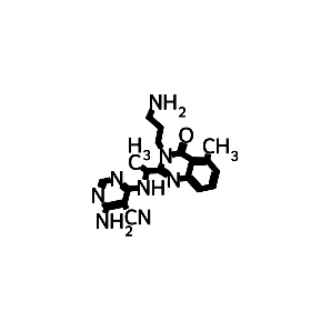 Cc1cccc2nc(C(C)Nc3ncnc(N)c3C#N)n(CCCN)c(=O)c12